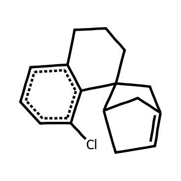 Clc1cccc2c1C1(CCC2)CC2=CCC1C2